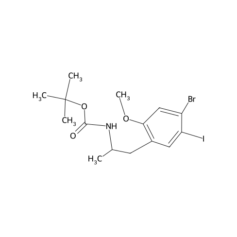 COc1cc(Br)c(I)cc1CC(C)NC(=O)OC(C)(C)C